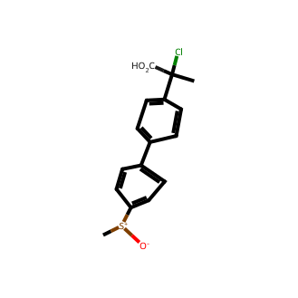 C[S+]([O-])c1ccc(-c2ccc(C(C)(Cl)C(=O)O)cc2)cc1